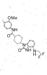 COc1cc(NC(=O)C2CCC(n3c(=O)[nH]c4c(NCC(F)F)cccc43)CC2)ccc1C